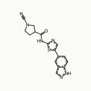 N#CN1CCC(C(=O)Nc2ncc(-c3ccc4[nH]ncc4c3)s2)C1